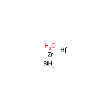 O.[BiH3].[Hf].[Zr]